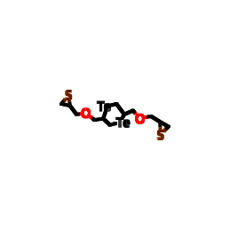 C(OCC1C[Te]C(COCC2CS2)C[Te]1)C1CS1